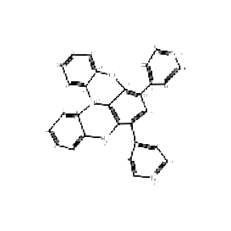 c1ccc2c(c1)Oc1c(-c3ccncc3)cc(-c3ccncc3)c3c1B2c1ccccc1O3